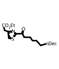 CCCCCCCCCCCCCCCC(=O)c1nc(CC(=O)OCC)cs1